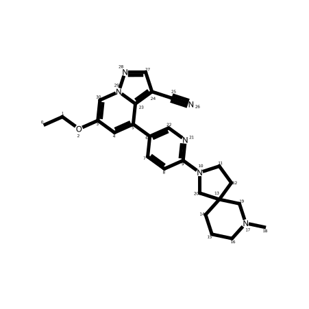 CCOc1cc(-c2ccc(N3CCC4(CCCN(C)C4)C3)nc2)c2c(C#N)cnn2c1